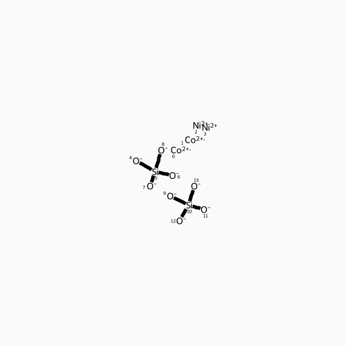 [Co+2].[Co+2].[Ni+2].[Ni+2].[O-][Si]([O-])([O-])[O-].[O-][Si]([O-])([O-])[O-]